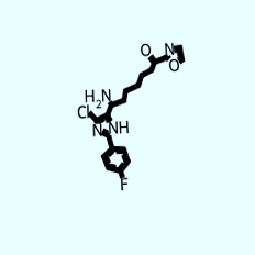 NC(CCCCCC(=O)c1ncco1)c1[nH]c(-c2ccc(F)cc2)nc1Cl